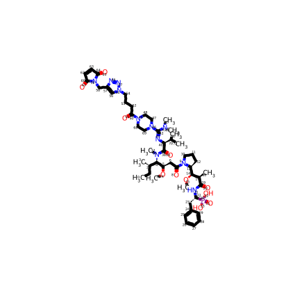 CC[C@H](C)[C@@H]([C@@H](CC(=O)N1CCC[C@H]1[C@H](OC)[C@@H](C)C(=O)N[C@@H](Cc1ccccc1)P(=O)(O)O)OC)N(C)C(=O)[C@@H](/N=C(\N(C)C)N1CCN(C(=O)CCCn2cc(CN3C(=O)C=CC3=O)nn2)CC1)C(C)C